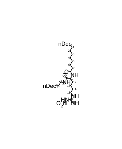 CCCCCCCCCCCCCCCCCC(=O)NC(CCCCNC(=N)N[N+](=O)[O-])C(=O)NCCCCCCCCCCCC